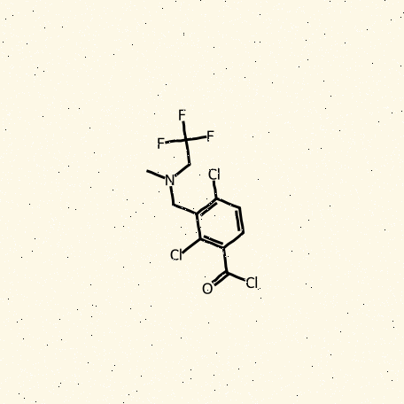 CN(Cc1c(Cl)ccc(C(=O)Cl)c1Cl)CC(F)(F)F